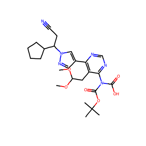 COC(Cc1c(-c2cnn(C(CC#N)C3CCCC3)c2)ncnc1N(C(=O)O)C(=O)OC(C)(C)C)OC